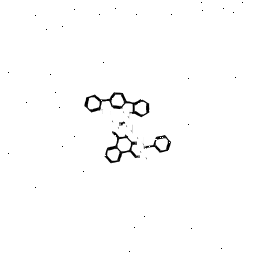 c1ccc(-c2ncc3c4ccccc4c4cnc(-n5c6ccccc6c6ccc7c8ccccc8oc7c65)nc4c3n2)cc1